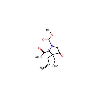 C=CCC1(CC=O)C(=O)CN(C(=O)OC(C)(C)C)[C@@H]1C(=O)OC